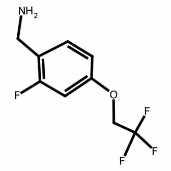 NCc1ccc(OCC(F)(F)F)cc1F